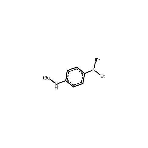 CCN(c1ccc(NC(C)(C)C)cc1)C(C)C